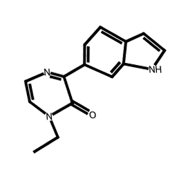 CCn1ccnc(-c2ccc3cc[nH]c3c2)c1=O